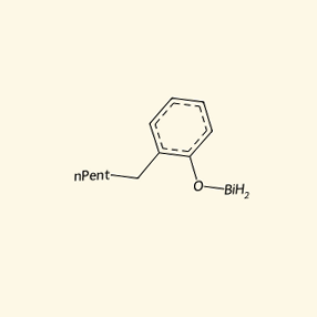 CCCCCCc1ccccc1[O][BiH2]